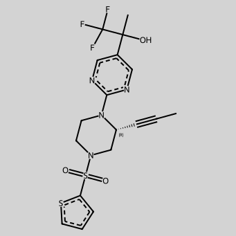 CC#C[C@@H]1CN(S(=O)(=O)c2cccs2)CCN1c1ncc(C(C)(O)C(F)(F)F)cn1